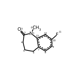 CN1C(=O)CCCc2ccc(F)cc21